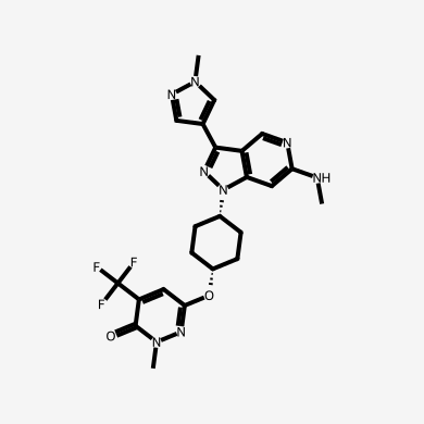 CNc1cc2c(cn1)c(-c1cnn(C)c1)nn2[C@H]1CC[C@@H](Oc2cc(C(F)(F)F)c(=O)n(C)n2)CC1